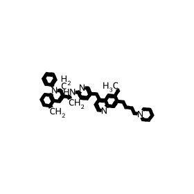 C=C1CCCC2=C1C=C(C(=C)Nc1ccc(Cc3ccnc4cc(CCCCN5CCCCC5)c(CC)cc34)cn1)C(=C)N2c1ccccc1